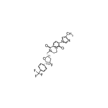 Cc1cn(-c2ccc3n(c2=O)CCN(C[C@@H]2C[C@@H](F)[C@H](c4ccc(C(F)(F)F)cc4)O2)C3=O)cn1